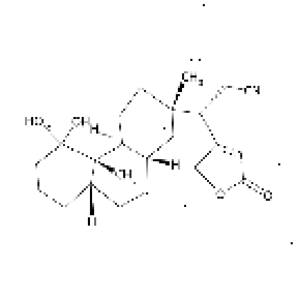 C[C@]1([C@H](CC#N)C2=CC(=O)OC2)CC[C@H]2[C@@H](CC[C@@H]3CCCC(O)(O)[C@@]32C)C1